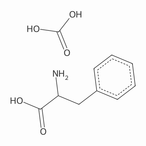 NC(Cc1ccccc1)C(=O)O.O=C(O)O